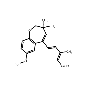 CCOC(=O)C=C(C)C=CC1=CC(C)(C)COc2ccc(OC(F)(F)F)cc21